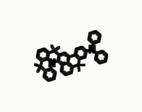 CC1(C)c2ccccc2N2c3c1cccc3C(C)(C)c1cc3c4c(cccc4c12)C(C)(C)c1cc(N(c2ccccc2)c2ccccc2)ccc1-3